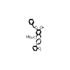 COc1cc(CN2CCN(c3ccccc3OC)CC2)c(Cl)cc1OCc1ccccc1.[H-].[Na+]